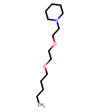 CCCCCOCCOCCN1CCCCC1